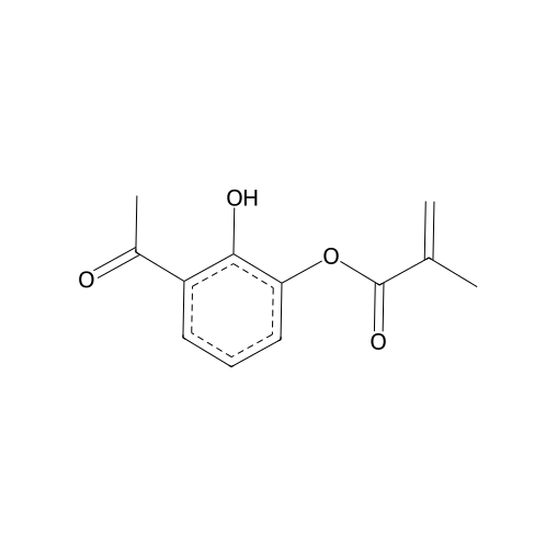 C=C(C)C(=O)Oc1cccc(C(C)=O)c1O